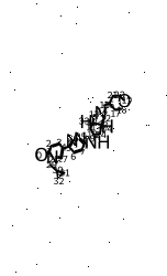 O=c1ccc(-c2ccc(NC3C[C@@H]4CN(CC5CCOCC5)C[C@@H]4C3)nn2)cn1CC1CC1